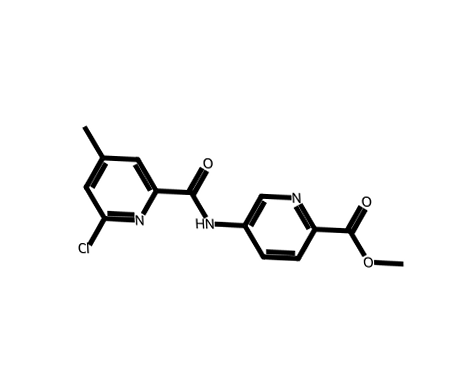 COC(=O)c1ccc(NC(=O)c2cc(C)cc(Cl)n2)cn1